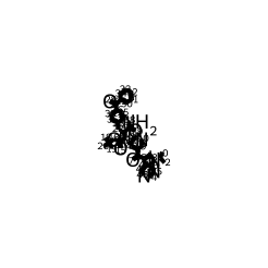 CC(C)n1cc(C(=O)c2cncc(N(C(=O)OC(C)(C)C)[C@@H](Cc3ccc(C(=O)c4ccccc4)cc3)C(N)=O)c2)c2cncnc21